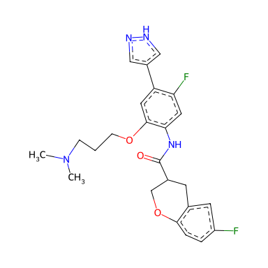 CN(C)CCCOc1cc(-c2cn[nH]c2)c(F)cc1NC(=O)C1COc2ccc(F)cc2C1